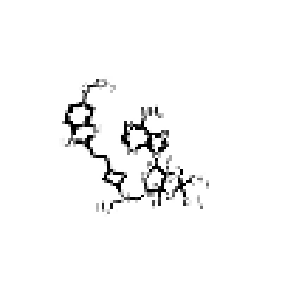 CN(C[C@H]1O[C@@H](n2cnc3c(N)ncnc32)[C@H]2OC(C)(C)O[C@@H]21)C1CC(CCc2nc3cc(OC(F)(F)F)ccc3[nH]2)C1